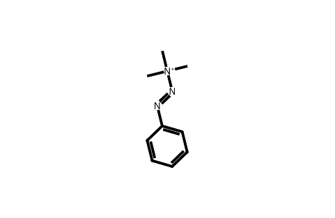 C[N+](C)(C)N=Nc1ccccc1